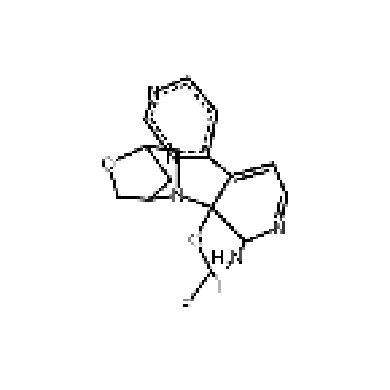 NC1N=CC=C(c2ccncn2)C1(OC(F)F)N1CC2CC1CO2